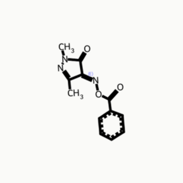 CC1=NN(C)C(=O)/C1=N/OC(=O)c1ccccc1